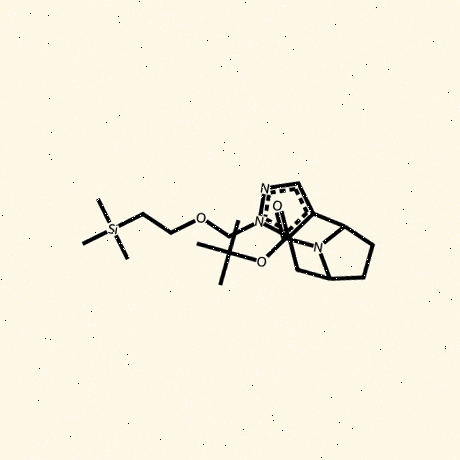 CC(C)(C)OC(=O)N1C2CCC1c1cnn(COCC[Si](C)(C)C)c1C2